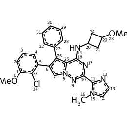 COc1cccc(-c2cn3nc(-c4nccn4C)nc(NC4CC(OC)C4)c3c2-c2ccccc2)c1Cl